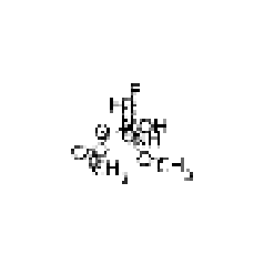 CCc1cccc(CNC[C@H](O)[C@H](Cc2cc(F)cc(F)c2)NC(=O)CCC(=O)c2ccc(OC)c(-c3ccccc3)c2)c1